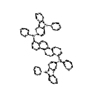 c1ccc(N(c2ccc3c(c2)c2ccccc2n3-c2ccccc2)c2cccc3c2ccc2c4cccc(N(c5ccccc5)c5ccc6c(c5)c5ccccc5n6-c5ccccc5)c4ccc32)cc1